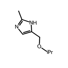 Cc1ncc(COC(C)C)[nH]1